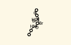 O=C(NCCc1ccc(-c2ccccc2)cc1)c1cc(Br)c(CN(O)Cc2ccc(Oc3ccccc3)cc2)c(Br)c1